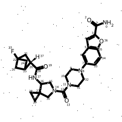 NC(=O)c1cc2cc(N3CCN(C(=O)N4CC(NC(=O)[C@H]5CC6(F)CC5C6)C5(CC5)C4)CC3)ccc2o1